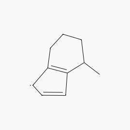 CC1CCCC2=C1C=C[CH]2